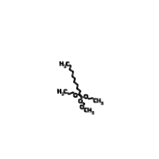 CCCCCCCCCC/C(OCCC)=C(\OCCC)OCOC